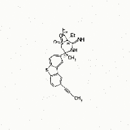 CC#Cc1ccc2sc3ccc([C@]4(C)CS(=O)(=O)[C@](C)(CC)C(=N)N4)cc3c2c1